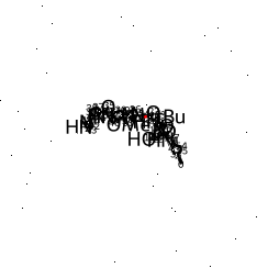 C#Cc1ccc([C@H](C)NC(=O)[C@@H]2C[C@@H](O)CN2C(=O)[C@@H](NC(=O)CCN2CCN(c3ccc(NC(=O)c4cccc(-c5cc[nH]n5)n4)c(OC)c3)[C@@H](C)C2)C(C)(C)C)cc1